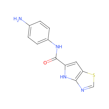 Nc1ccc(NC(=O)c2cc3scnc3[nH]2)cc1